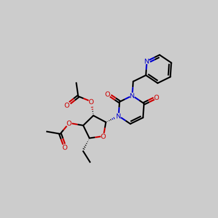 CC[C@H]1O[C@@H](n2ccc(=O)n(Cc3ccccn3)c2=O)[C@@H](OC(C)=O)C1OC(C)=O